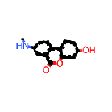 CNc1ccc2c(c1)c(=O)oc1cc(O)ccc12